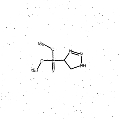 CC(C)(C)OP(=S)(OC(C)(C)C)C1CNN=N1